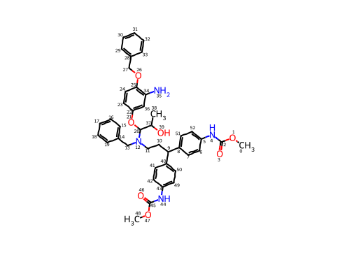 COC(=O)Nc1ccc(C(CCN(Cc2ccccc2)C(Oc2ccc(OCc3ccccc3)c(N)c2)C(C)O)c2ccc(NC(=O)OC)cc2)cc1